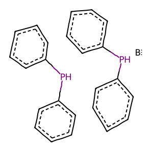 [B].c1ccc(Pc2ccccc2)cc1.c1ccc(Pc2ccccc2)cc1